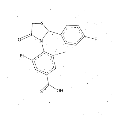 CCc1cc(C(O)=S)cc(C)c1N1C(=O)CSC1c1ccc(F)cc1